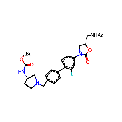 CC(=O)NC[C@H]1CN(c2ccc(-c3ccc(CN4CC[C@H](NC(=O)OC(C)(C)C)C4)cc3)c(F)c2)C(=O)O1